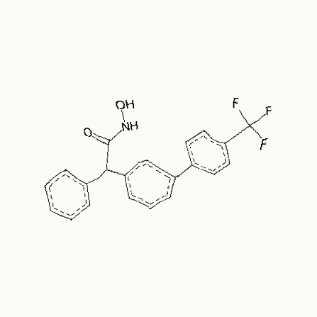 O=C(NO)C(c1ccccc1)c1cccc(-c2ccc(C(F)(F)F)cc2)c1